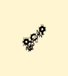 C[C@H]1CN(c2ncc3ccccc3n2)CCCN1C(=O)c1ccccc1-n1nccn1